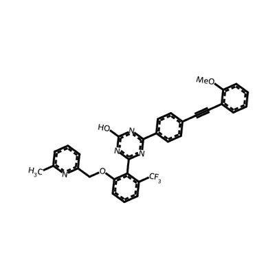 COc1ccccc1C#Cc1ccc(-c2nc(O)nc(-c3c(OCc4cccc(C)n4)cccc3C(F)(F)F)n2)cc1